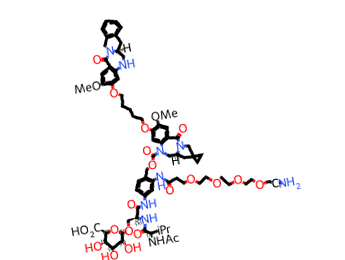 COc1cc2c(cc1OCCCCCOc1cc3c(cc1OC)C(=O)N1CC4(CC4)C[C@H]1CN3C(=O)OCc1ccc(NC(=O)[C@H](CO[C@@H]3O[C@H](C(=O)O)[C@@H](O)[C@H](O)[C@H]3O)NC(=O)[C@@H](NC(C)=O)C(C)C)cc1NC(=O)CCOCCOCCOCCOCCN)NC[C@@H]1Cc3ccccc3CN1C2=O